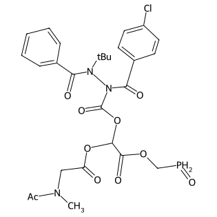 CC(=O)N(C)CC(=O)OC(OC(=O)N(C(=O)c1ccc(Cl)cc1)N(C(=O)c1ccccc1)C(C)(C)C)C(=O)OC[PH2]=O